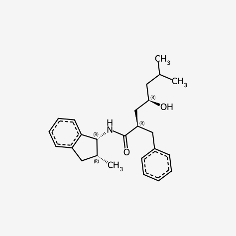 CC(C)C[C@@H](O)C[C@@H](Cc1ccccc1)C(=O)N[C@H]1c2ccccc2C[C@H]1C